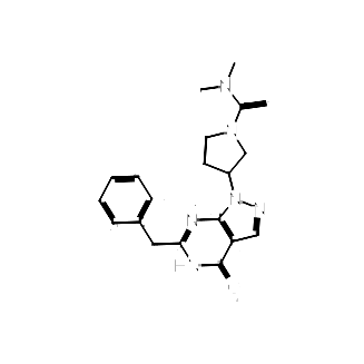 C=C(N(C)C)N1CCC(n2ncc3c(=O)[nH]c(Cc4ccccc4)nc32)C1